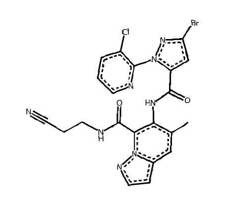 Cc1cc2ccnn2c(C(=O)NCCC#N)c1NC(=O)c1cc(Br)nn1-c1ncccc1Cl